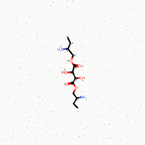 CCC(N)COC(=O)C(O)C(O)C(=O)OCC(N)CC